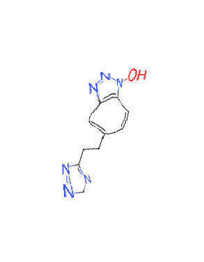 On1nnc2cc(CCC3=NCN=N3)ccc21